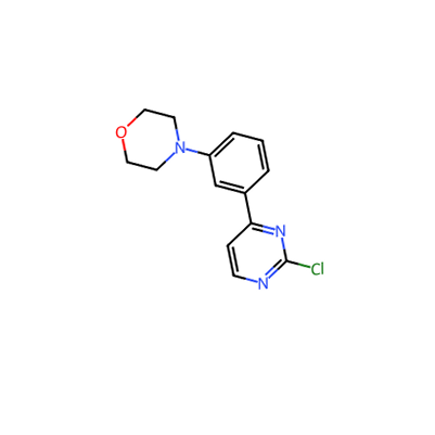 Clc1nccc(-c2cccc(N3CCOCC3)c2)n1